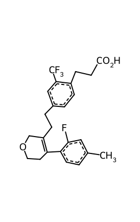 Cc1ccc(C2=C(CCc3ccc(CCC(=O)O)c(C(F)(F)F)c3)COCC2)c(F)c1